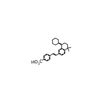 CC1(C)CCC(=C2CCCCC2)c2cc(C=Cc3ccc(C(=O)O)cc3)ccc21